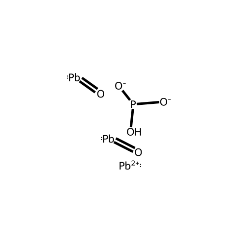 [O-]P([O-])O.[O]=[Pb].[O]=[Pb].[Pb+2]